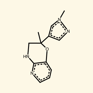 Cn1cc(C2(C)CNc3ncccc3O2)cn1